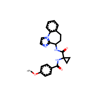 CCCOc1ccc(C(=O)NC2(C(=O)NC3CCc4ccccc4-n4ccnc43)CC2)cc1